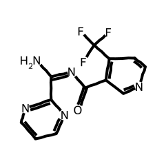 N/C(=N/C(=O)c1cnccc1C(F)(F)F)c1ncccn1